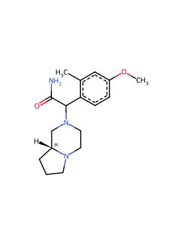 COc1ccc(C(C(N)=O)N2CCN3CCC[C@@H]3C2)c(C)c1